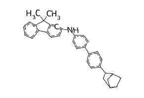 CC1(C)c2ccccc2-c2ccc(Nc3ccc(-c4ccc(C5CC6CCC5C6)cc4)cc3)cc21